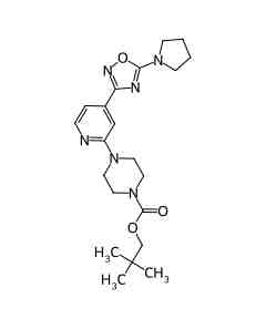 CC(C)(C)COC(=O)N1CCN(c2cc(-c3noc(N4CCCC4)n3)ccn2)CC1